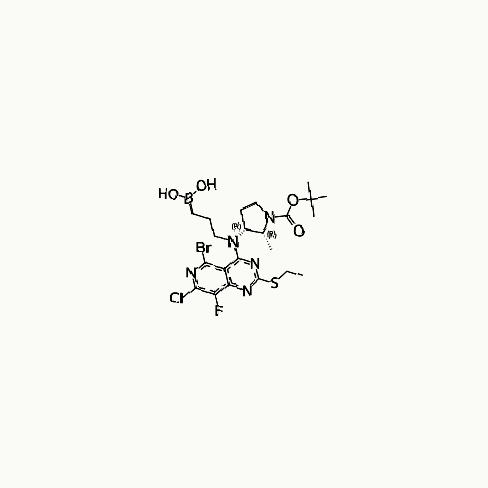 CCSc1nc(N(CCCB(O)O)[C@@H]2CCN(C(=O)OC(C)(C)C)[C@@H]2C)c2c(Br)nc(Cl)c(F)c2n1